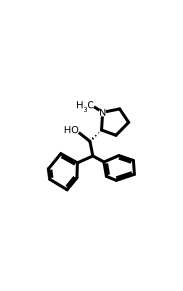 CN1CCC[C@@H]1C(O)C(c1ccccc1)c1ccccc1